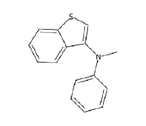 CN(c1ccccc1)c1csc2ccccc12